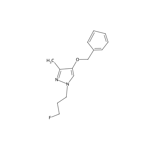 Cc1nn(CCCF)cc1OCc1ccccc1